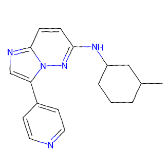 CC1CCCC(Nc2ccc3ncc(-c4ccncc4)n3n2)C1